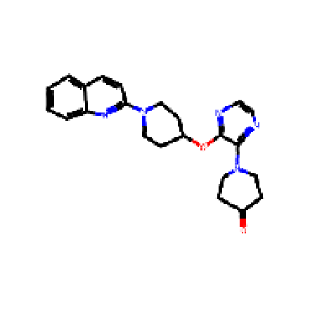 O=C1CCN(c2nccnc2OC2CCN(c3ccc4ccccc4n3)CC2)CC1